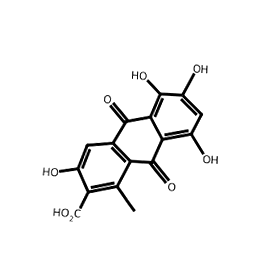 Cc1c(C(=O)O)c(O)cc2c1C(=O)c1c(O)cc(O)c(O)c1C2=O